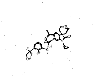 Cc1nnc(N[C@H](C)c2cccc(C(F)(F)CO)c2F)c2cc3c(cc12)C1(CCOCC1)C(=O)N3C1CC1